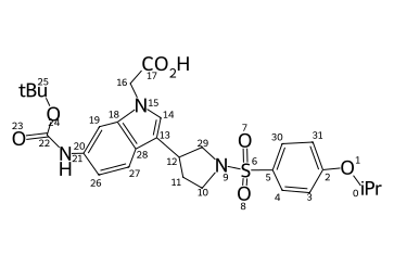 CC(C)Oc1ccc(S(=O)(=O)N2CCC(c3cn(CC(=O)O)c4cc(NC(=O)OC(C)(C)C)ccc34)C2)cc1